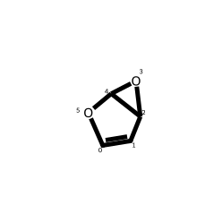 C1=CC2OC2O1